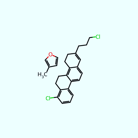 Cc1ccoc1.ClCCCC1=Cc2ccc3c(c2CC1)CCc1c(Cl)cccc1-3